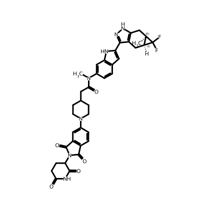 CN(C(=O)CC1CCN(c2ccc3c(c2)C(=O)N(C2CCC(=O)NC2=O)C3=O)CC1)c1ccc2cc(-c3n[nH]c4c3C[C@@H]3C(F)(F)[C@]3(C)C4)[nH]c2c1